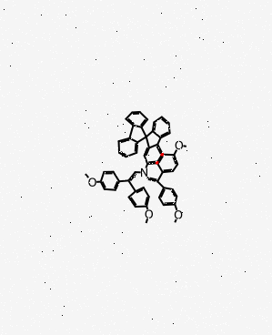 COc1ccc(C(=CN(C=C(c2ccc(OC)cc2)c2ccc(OC)cc2)c2ccc3c(c2)C2(c4ccccc4-c4ccccc42)c2ccccc2-3)c2ccc(OC)cc2)cc1